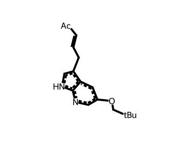 CC(=O)C=CCc1c[nH]c2ncc(OCC(C)(C)C)cc12